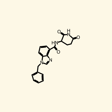 O=C1CCC(NC(=O)c2cccc3c2ncn3Cc2ccccc2)C(=O)N1